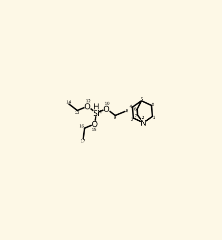 C1CN2CCC1CC2.CCO[SiH](OCC)OCC